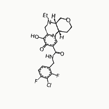 CCN1Cc2c(O)c(=O)c(C(=O)NCc3ccc(F)c(Cl)c3F)cn2[C@H]2CCOC[C@H]21